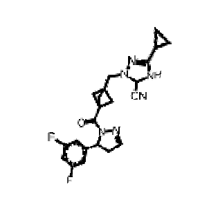 N#CC1NC(C2CC2)=NN1CC12CC(C(=O)N3N=CCC3c3cc(F)cc(F)c3)(C1)C2